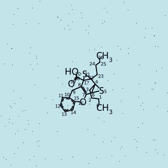 CCCCC12SC1C1=C(Cc3ccccc3O1)C1(C(=O)O)SC12CCCC